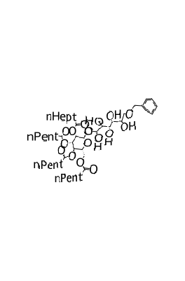 CCCCCCCC(=O)O[C@@H]1[C@@H](OC(O)[C@@H](O)[C@@H](O)[C@H](O)[C@H](O)COCc2ccccc2)O[C@H](COC(=O)CCCCC)[C@@H](OC(=O)CCCCC)[C@@H]1OC(=O)CCCCC